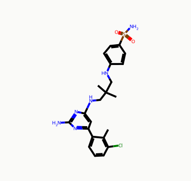 Cc1c(Cl)cccc1-c1cc(NCC(C)(C)CNc2ccc(S(N)(=O)=O)cc2)nc(N)n1